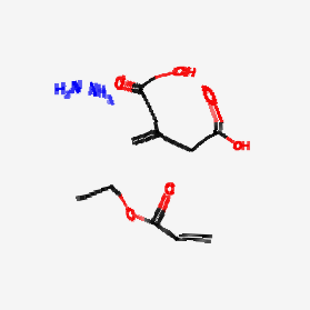 C=C(CC(=O)O)C(=O)O.C=CC(=O)OCC.N.N